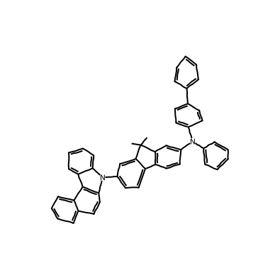 CC1(C)c2cc(N(c3ccccc3)c3ccc(-c4ccccc4)cc3)ccc2-c2ccc(-n3c4ccccc4c4c5ccccc5ccc43)cc21